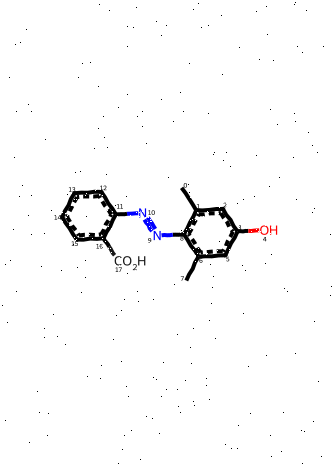 Cc1cc(O)cc(C)c1N=Nc1ccccc1C(=O)O